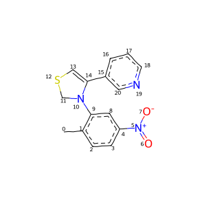 Cc1ccc([N+](=O)[O-])cc1N1CSC=C1c1cccnc1